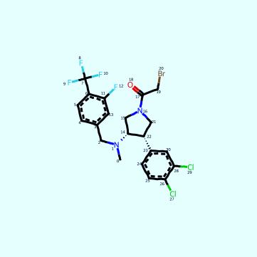 CN(Cc1ccc(C(F)(F)F)c(F)c1)[C@@H]1CN(C(=O)CBr)C[C@@H]1c1ccc(Cl)c(Cl)c1